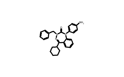 Nc1ccc(N2C(=O)N(Cc3ccccc3)N=C(C3CCCCC3)c3ccccc32)cc1